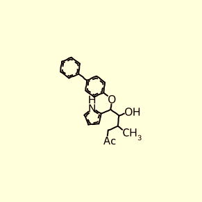 CC(=O)CC(C)C(O)C(Oc1ccc(-c2ccccc2)cc1)c1ccc[nH]1